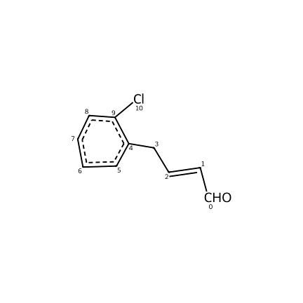 O=C/C=C/Cc1ccccc1Cl